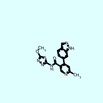 COc1nnc(NC(=O)c2cnc(C)cc2-c2ccc3cn[nH]c3c2)s1